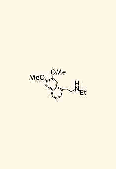 CCNCCc1cccc2cc(OC)c(OC)cc12